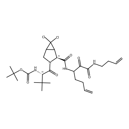 C=CCCNC(=O)C(=O)C(CCC=C)NC(=O)[C@@H]1C2C(CN1C(=O)[C@@H](NC(=O)OC(C)(C)C)C(C)(C)C)C2(Cl)Cl